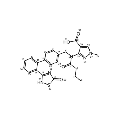 CCCC(=O)N(Cc1ccc(-c2ccccc2-c2nc(=O)s[nH]2)cc1)c1nn(C)cc1C(=O)O